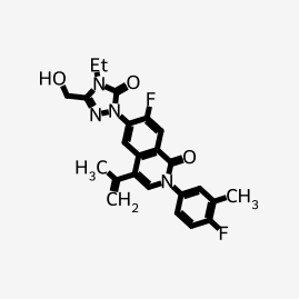 C=C(C)c1cn(-c2ccc(F)c(C)c2)c(=O)c2cc(F)c(-n3nc(CO)n(CC)c3=O)cc12